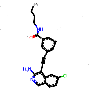 CC(C)CCCNC(=O)c1cccc(C#Cc2c(N)ncc3ccc(Cl)cc23)c1